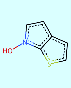 On1ccc2ccsc21